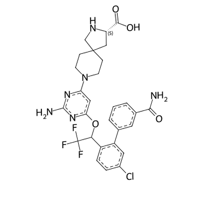 NC(=O)c1cccc(-c2cc(Cl)ccc2C(Oc2cc(N3CCC4(CC3)CN[C@H](C(=O)O)C4)nc(N)n2)C(F)(F)F)c1